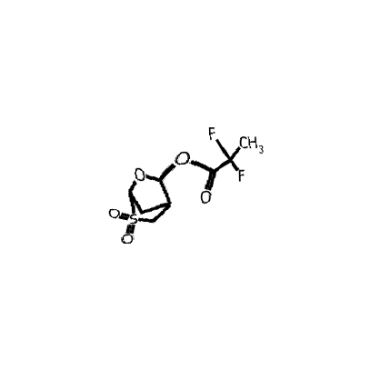 CC(F)(F)C(=O)OC1OC2CC1CS2(=O)=O